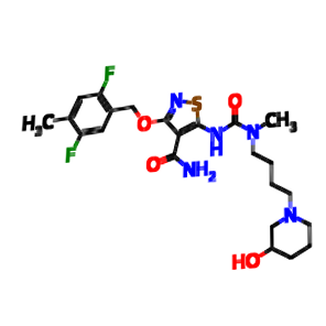 Cc1cc(F)c(COc2nsc(NC(=O)N(C)CCCCN3CCCC(O)C3)c2C(N)=O)cc1F